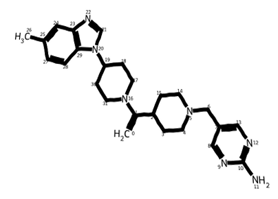 C=C(C1CCN(Cc2cnc(N)nc2)CC1)N1CCC(n2cnc3cc(C)ccc32)CC1